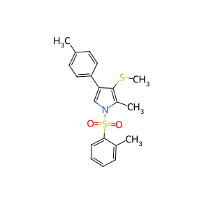 CSc1c(-c2ccc(C)cc2)cn(S(=O)(=O)c2ccccc2C)c1C